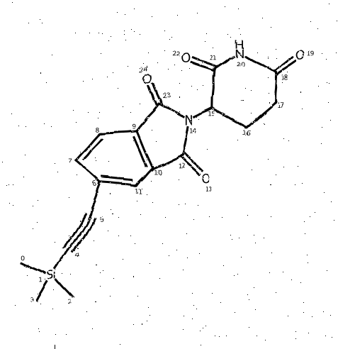 C[Si](C)(C)C#Cc1ccc2c(c1)C(=O)N(C1CCC(=O)NC1=O)C2=O